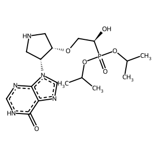 CC(C)OP(=O)(OC(C)C)[C@H](O)CO[C@H]1CNC[C@H]1n1cnc2c(=O)[nH]cnc21